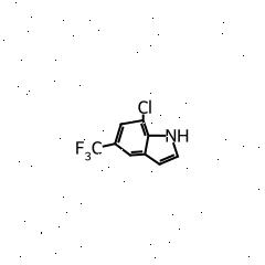 FC(F)(F)c1cc(Cl)c2[nH]ccc2c1